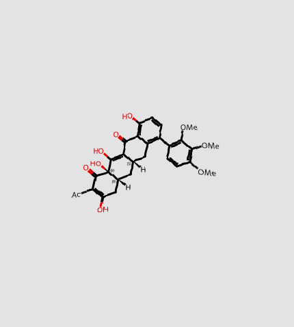 COc1ccc(-c2ccc(O)c3c2C[C@@H]2C[C@@H]4CC(O)=C(C(C)=O)C(=O)[C@]4(O)C(O)=C2C3=O)c(OC)c1OC